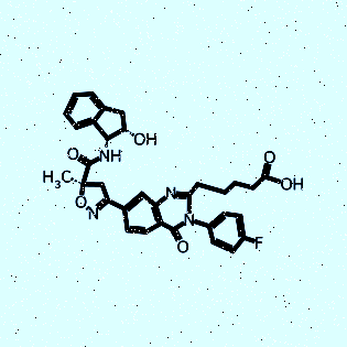 C[C@]1(C(=O)N[C@@H]2c3ccccc3C[C@@H]2O)CC(c2ccc3c(=O)n(-c4ccc(F)cc4)c(CCCCC(=O)O)nc3c2)=NO1